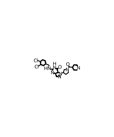 O=C(c1ccncc1)N1CCC(n2ncc3nc(NCc4ccc(Cl)c(Cl)c4)[nH]c(=O)c32)C1